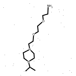 CC(C)N1CCN(CCOCCOCCN)CC1